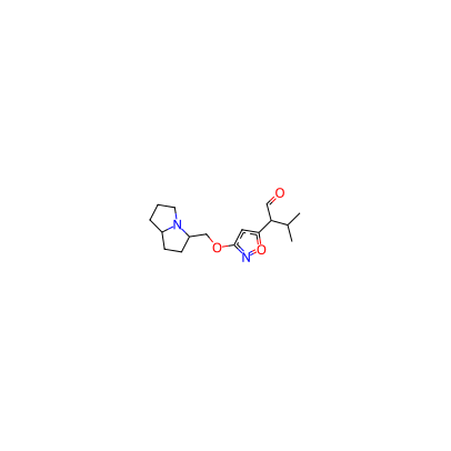 CC(C)C(C=O)c1cc(OCC2CCC3CCCN32)no1